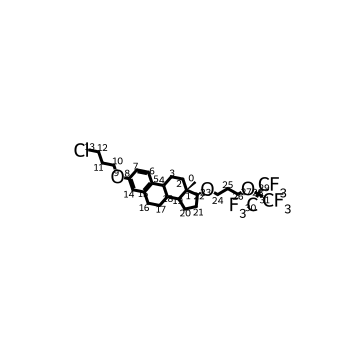 C[C@]12CCC3c4ccc(OCCCCl)cc4CCC3C1CC[C@@H]2OCCCOC(C(F)(F)F)(C(F)(F)F)C(F)(F)F